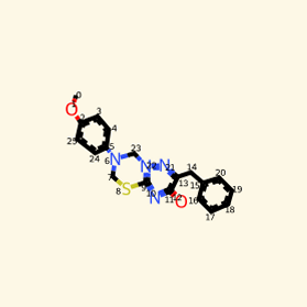 COc1ccc(N2CSc3nc(=O)c(Cc4ccccc4)nn3C2)cc1